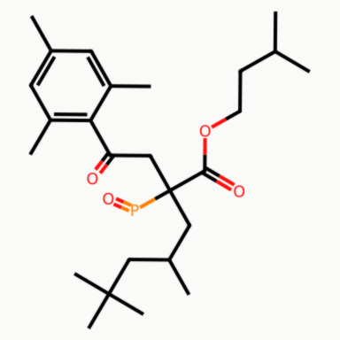 Cc1cc(C)c(C(=O)CC(CC(C)CC(C)(C)C)(P=O)C(=O)OCCC(C)C)c(C)c1